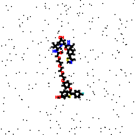 Cc1ncsc1-c1ccc([C@H](C)NC(=O)[C@@H]2C[C@@H](O)CN2C[C@@H](NC(=O)COCCOCCOCCOc2ccc(Oc3c(-c4ccc(F)cc4)sc4cc(O)ccc34)cc2)C(C)(C)C)cc1